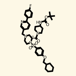 CC(C)(C)OC(=O)NC1CCN(C(=O)[C@@H]2CN(Cc3ccc(-c4ccc(F)cc4)nc3)CCN2S(=O)(=O)c2ccc(OCC3CCCCC3)cc2)CC1